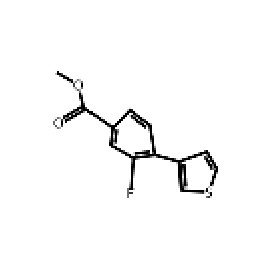 COC(=O)c1ccc(-c2ccsc2)c(F)c1